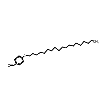 CCCCCCCCCCCCCCCCCCCSc1ccc(C=O)cc1